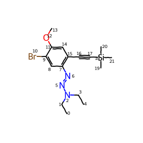 CCN(CC)N=Nc1cc(Br)c(OC)cc1C#C[Si](C)(C)C